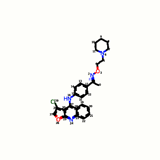 C/C(=N\OCCN1CCCCC1)c1ccc(Nc2c3ccccc3nc3occ(Cl)c23)cc1